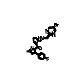 Cn1cc(-c2ccc(F)cc2)c(C(=O)N2CCC[C@H]2CNCc2ncc(Br)cn2)n1